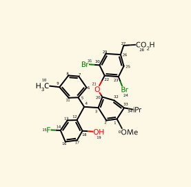 COc1cc(C(c2cccc(C)c2)c2cc(F)ccc2O)c(Oc2c(Br)cc(CC(=O)O)cc2Br)cc1C(C)C